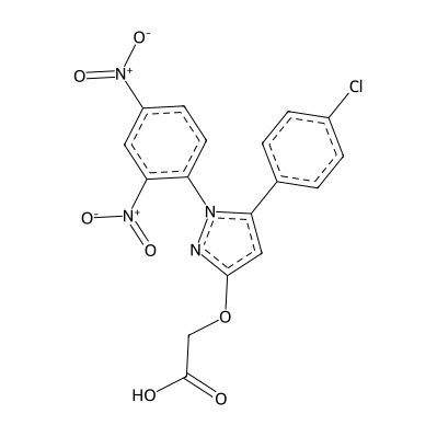 O=C(O)COc1cc(-c2ccc(Cl)cc2)n(-c2ccc([N+](=O)[O-])cc2[N+](=O)[O-])n1